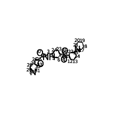 O=C(NCc1ccc(S(=O)(=O)c2cccc(N3CCCCC3)c2)cc1)c1cc2ccncc2o1